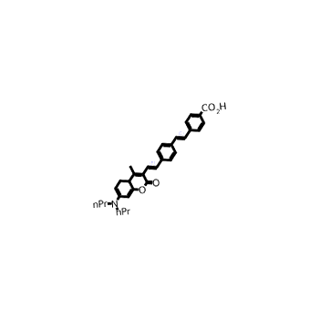 CCCN(CCC)C1=CCC2C(=C1)OC(=O)C(/C=C/c1ccc(/C=C/c3ccc(C(=O)O)cc3)cc1)=C2C